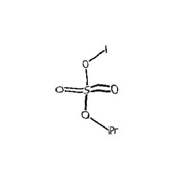 CC(C)OS(=O)(=O)OI